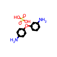 Nc1ccc(Oc2cccc(N)c2)cc1.O=S(=O)(O)O